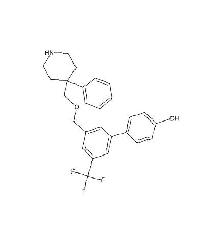 Oc1ccc(-c2cc(COCC3(c4ccccc4)CCNCC3)cc(C(F)(F)F)c2)cc1